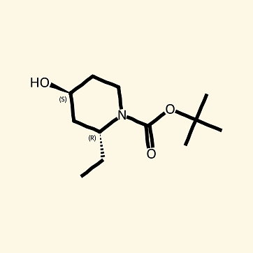 CC[C@@H]1C[C@@H](O)CCN1C(=O)OC(C)(C)C